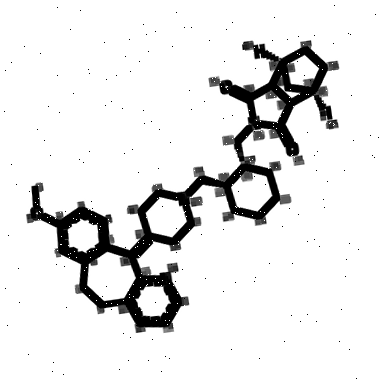 COc1ccc2c(c1)CCc1cccnc1C2=C1CCN(C[C@@H]2CCCC[C@H]2CN2C(=O)C3C(C2=O)[C@H]2CC[C@@H]3C2)CC1